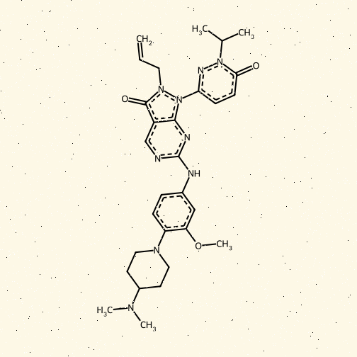 C=CCn1c(=O)c2cnc(Nc3ccc(N4CCC(N(C)C)CC4)c(OC)c3)nc2n1-c1ccc(=O)n(C(C)C)n1